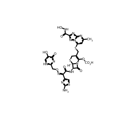 Cc1cc(SCC2=C(OC(=O)O)N3C(=O)[C@@H](NC(=O)/C(=N\OCc4nc(=O)c(O)c[nH]4)c4csc(N)n4)[C@H]3SC2)n2nc(C(=O)NO)nc2n1